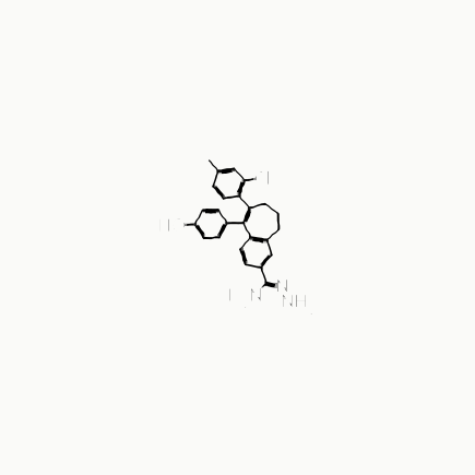 Cc1ccc(C2=C(c3ccc(O)cc3)c3ccc(/C(N)=N/N)cc3CCC2)c(Cl)c1